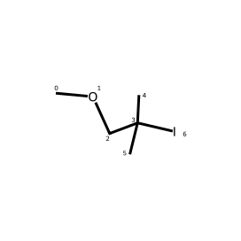 COCC(C)(C)I